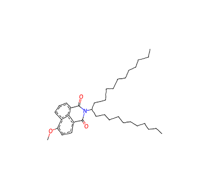 CCCCCCCCCCCC(CCCCCCCCCCC)N1C(=O)c2cccc3c(OC)ccc(c23)C1=O